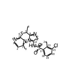 Cc1ccnc(SC(C)c2nsc(NS(=O)(=O)c3cccc(Cl)c3C)n2)n1